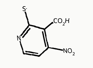 O=C(O)c1c([N+](=O)[O-])ccnc1[S]